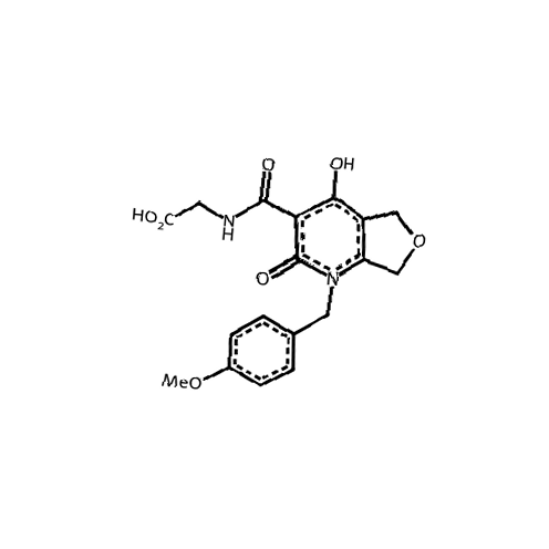 COc1ccc(Cn2c3c(c(O)c(C(=O)NCC(=O)O)c2=O)COC3)cc1